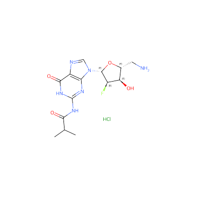 CC(C)C(=O)Nc1nc2c(ncn2[C@@H]2O[C@H](CN)[C@@H](O)[C@H]2F)c(=O)[nH]1.Cl